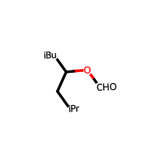 CCC(C)C(CC(C)C)OC=O